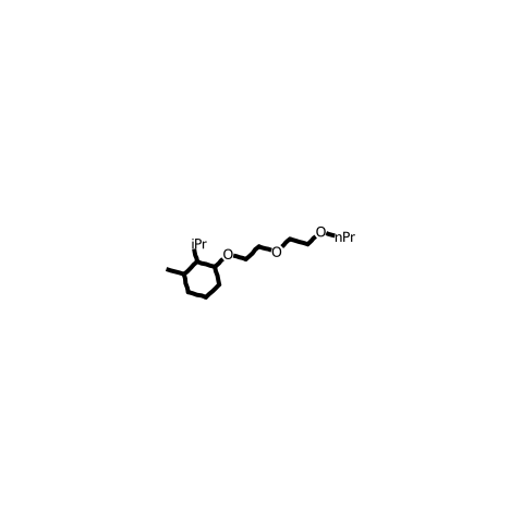 CCCOCCOCCOC1CCCC(C)C1C(C)C